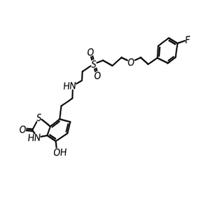 O=c1[nH]c2c(O)ccc(CCNCCS(=O)(=O)CCCOCCc3ccc(F)cc3)c2s1